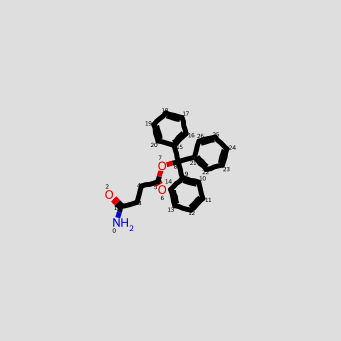 NC(=O)CCC(=O)OC(c1ccccc1)(c1ccccc1)c1ccccc1